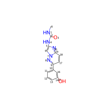 CNC(=O)Nc1cn2nc(-c3cccc(O)c3)ccc2n1